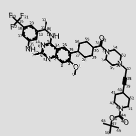 COc1cc2nc(C)nc(N[C@H](C)c3cc(N)cc(C(F)(F)F)c3)c2cc1C1CCC(C(=O)N2CCN(CC#CC3CCN(C(=O)OC(C)(C)C)CC3)CC2)CC1